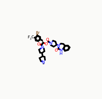 CN1CCC(C2CCN(C(=O)[C@@H](Cc3ccc(C(F)(F)F)c(Br)c3)OC(=O)N3CCC(N4CCc5ccccc5NC4=O)CC3)CC2)CC1